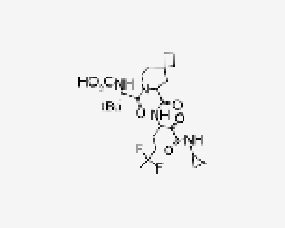 CC(F)(F)CCC(NC(=O)C1CC2(CCC2)CCN1C(=O)[C@@H](NC(=O)O)C(C)(C)C)C(=O)C(=O)NC1CC1